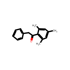 Cc1cc(C)c(C(=O)Cc2ccccc2)c(C)c1